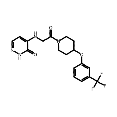 O=C(CNc1ccn[nH]c1=O)N1CCC(Oc2cccc(C(F)(F)F)c2)CC1